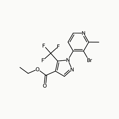 CCOC(=O)c1cnn(-c2ccnc(C)c2Br)c1C(F)(F)F